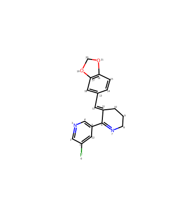 Fc1cncc(C2=NCCCC2=Cc2ccc3c(c2)OCO3)c1